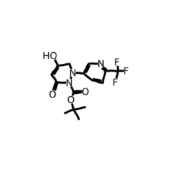 CC(C)(C)OC(=O)N1C(=O)C=C(O)CN1c1ccc(C(F)(F)F)nc1